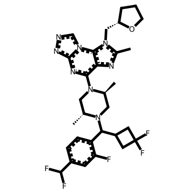 Cc1nc2c(N3C[C@@H](C)N(C(c4ccc(C(F)F)cc4F)C4CC(F)(F)C4)C[C@@H]3C)nc3nncn3c2n1C[C@@H]1CCCO1